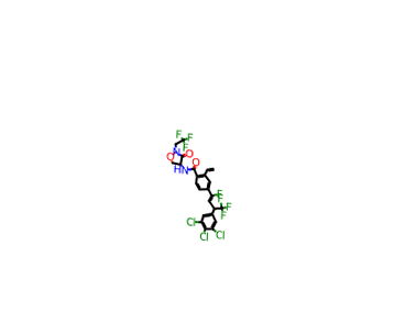 C=Cc1cc(/C(F)=C/C(c2cc(Cl)c(Cl)c(Cl)c2)C(F)(F)F)ccc1C(=O)NC1CON(CC(F)(F)F)C1=O